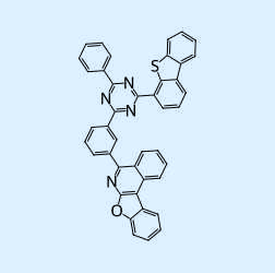 c1ccc(-c2nc(-c3cccc(-c4nc5oc6ccccc6c5c5ccccc45)c3)nc(-c3cccc4c3sc3ccccc34)n2)cc1